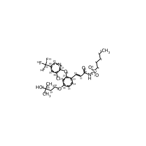 CCCCCS(=O)(=O)NC(=O)/C=C/c1ccc(OCCC(C)(C)O)cc1Oc1ncc(C(F)(F)F)cc1Cl